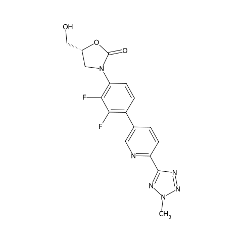 Cn1nnc(-c2ccc(-c3ccc(N4C[C@H](CO)OC4=O)c(F)c3F)cn2)n1